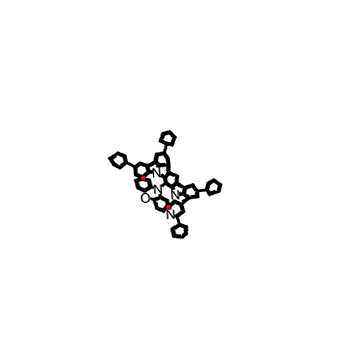 c1ccc(-c2ccc3c(c2)c2cc(-c4ccccc4)cc4c5cc6c7cc(-c8ccccc8)cc8c9cc(-c%10ccccc%10)ncc9n(c6c(N6c9ccccc9Oc9ccccc96)c5n3c24)c87)cc1